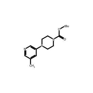 Cc1cncc(N2CCN(C(=O)OC(C)(C)C)CC2)c1